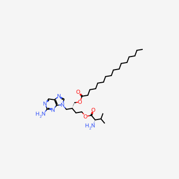 CCCCCCCCCCCCCCCC(=O)OC[C@H](CCOC(=O)[C@@H](N)C(C)C)Cn1cnc2cnc(N)nc21